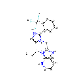 CCCn1c(Cn2ccnc2C2=CC=CCC2C(F)(F)F)nc2cccnc21